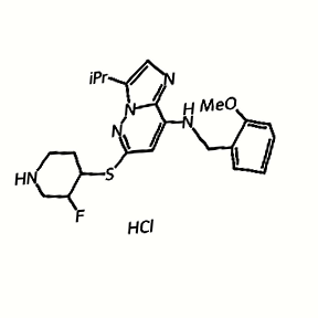 COc1ccccc1CNc1cc(SC2CCNCC2F)nn2c(C(C)C)cnc12.Cl